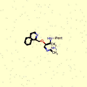 C=C(N)/N=C\C(OCc1nccc2ccccc12)=C(/C)N[C@@H](C)CCC